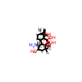 C=C1C(=O)[C@]23[C@@H](O)[C@H]1CC[C@H]2[C@@]12CO[C@]3(O)[C@@H](O)[C@@H]1C(C)(C)C[C@@H](O)[C@@H]2N